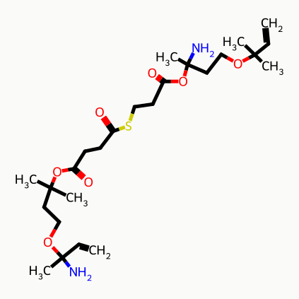 C=CC(C)(C)OCCC(C)(N)OC(=O)CCSC(=O)CCC(=O)OC(C)(C)CCOC(C)(N)C=C